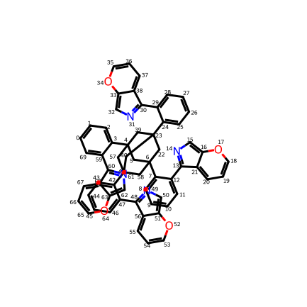 c1ccc(C23CC4(c5ccccc5-c5ncc6occcc5-6)CC(c5ccccc5-c5ncc6occcc5-6)(C2)CC(c2ccccc2-c2ncc5occcc2-5)(C3)C4)c(-c2ncc3occcc2-3)c1